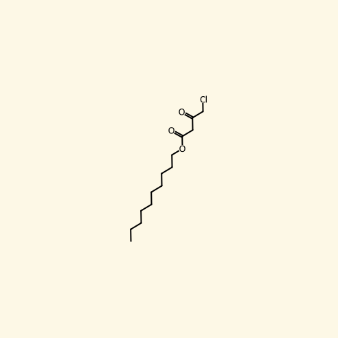 CCCCCCCCCCOC(=O)CC(=O)CCl